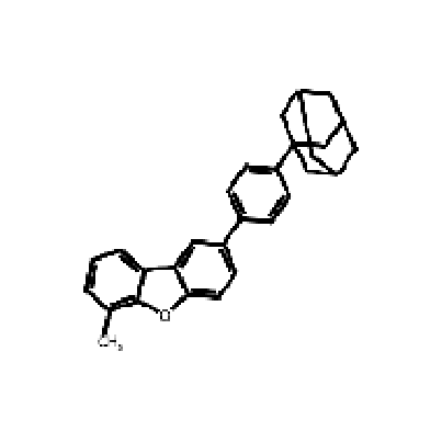 Cc1cccc2c1oc1ccc(-c3ccc(C45CC6CC(CC(C6)C4)C5)cc3)cc12